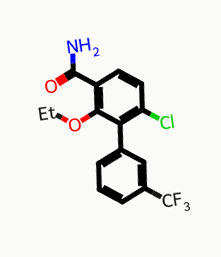 CCOc1c(C(N)=O)ccc(Cl)c1-c1cccc(C(F)(F)F)c1